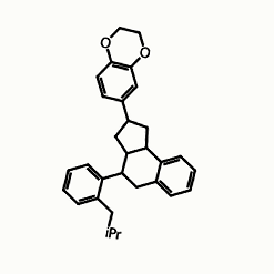 CC(C)Cc1ccccc1C1Cc2ccccc2C2CC(c3ccc4c(c3)OCCO4)CC12